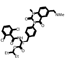 CCC(CC)OC(=O)[C@H](Cc1ccc(-n2c(=O)c3cc(CNC)ccc3n(C)c2=O)cc1)NC(=O)c1c(Cl)cccc1Cl